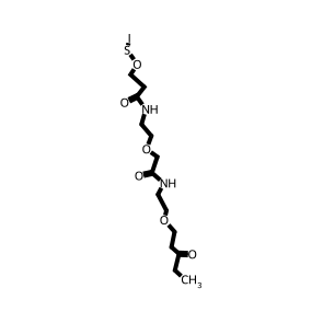 CCC(=O)CCOCCNC(=O)COCCNC(=O)CCOSI